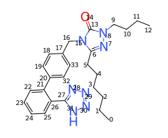 CCCCCCc1nn(CCCC)c(=O)n1Cc1ccc(-c2ccccc2-c2nnn[nH]2)cc1